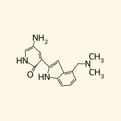 CN(C)Cc1cccc2[nH]c(-c3cc(N)c[nH]c3=O)cc12